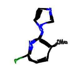 COc1ccc(F)nc1-n1ccnc1